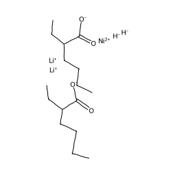 CCCCC(CC)C(=O)[O-].CCCCC(CC)C(=O)[O-].[H-].[H-].[Li+].[Li+].[Ni+2]